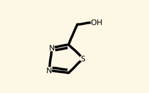 OCc1nncs1